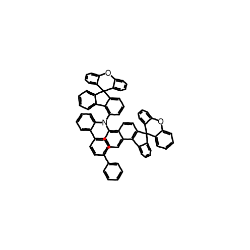 c1ccc(-c2ccc(-c3ccccc3N(c3cccc4c3-c3ccccc3C43c4ccccc4Oc4ccccc43)c3cccc4c5c(ccc34)C3(c4ccccc4Oc4ccccc43)c3ccccc3-5)cc2)cc1